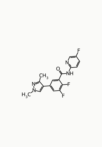 Cc1nn(C)cc1-c1cc(F)c(F)c(C(=O)Nc2ccc(F)cn2)c1